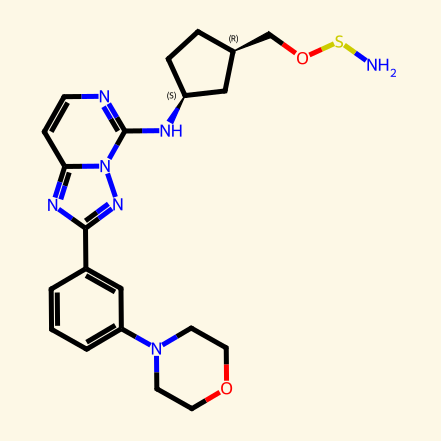 NSOC[C@@H]1CC[C@H](Nc2nccc3nc(-c4cccc(N5CCOCC5)c4)nn23)C1